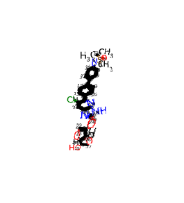 CC(C)S(C)(=O)=Nc1ccc(-c2ccc(-c3nc4[nH]c(O[C@@H]5CO[C@H]6[C@@H]5OC[C@H]6O)nc4cc3Cl)cc2)cc1